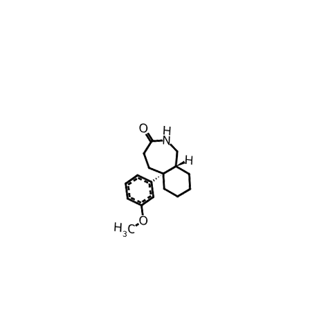 COc1cccc([C@@]23CCCC[C@H]2CNC(=O)CC3)c1